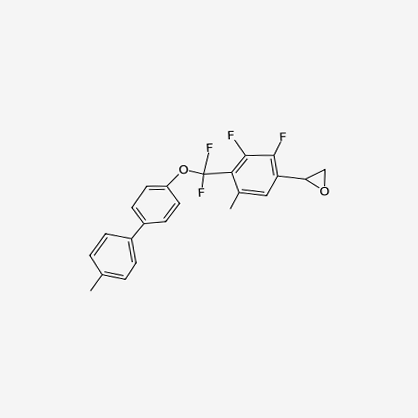 Cc1ccc(-c2ccc(OC(F)(F)c3c(C)cc(C4CO4)c(F)c3F)cc2)cc1